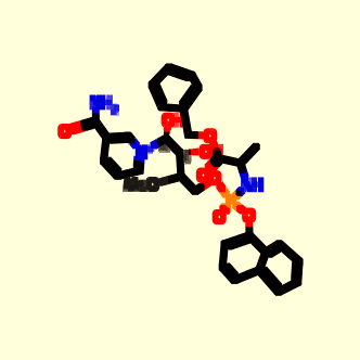 COC(COP(=O)(NC(C)C(=O)OCc1ccccc1)Oc1cccc2ccccc12)[C@@H](O)[C@@H](O)[n+]1cccc(C(N)=O)c1